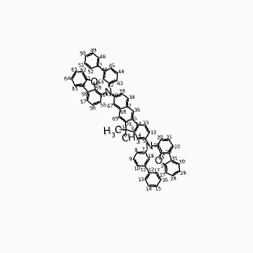 CC1(C)c2cc(N(c3cccc(-c4ccccc4)c3)c3cccc4c3oc3ccccc34)ccc2-c2cc3ccc(N(c4cccc(-c5ccccc5)c4)c4cccc5c4oc4ccccc45)cc3cc21